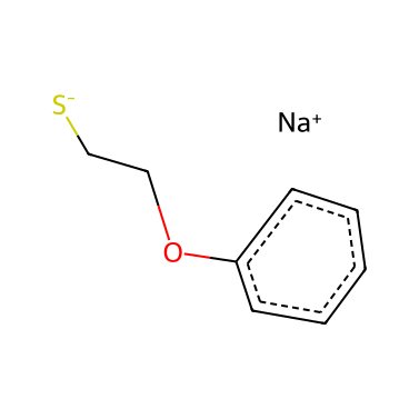 [Na+].[S-]CCOc1ccccc1